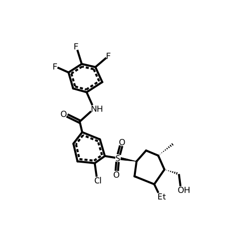 CCC1C[C@@H](S(=O)(=O)c2cc(C(=O)Nc3cc(F)c(F)c(F)c3)ccc2Cl)C[C@H](C)[C@@H]1CO